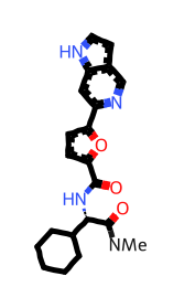 CNC(=O)[C@@H](NC(=O)c1ccc(-c2cc3[nH]ccc3cn2)o1)C1CCCCC1